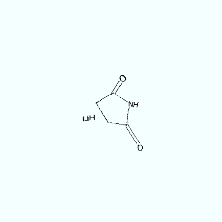 O=C1CCC(=O)N1.[LiH]